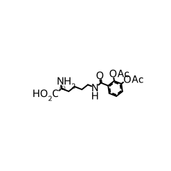 CC(=O)Oc1cccc(C(=O)NCCCC[C@H](N)C(=O)O)c1OC(C)=O